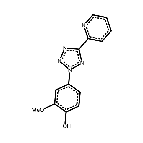 COc1cc(-n2nnc(-c3ccccn3)n2)ccc1O